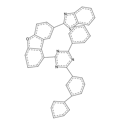 c1ccc(-c2cccc(-c3nc(-c4ccccc4)nc(-c4cccc5oc6ccc(-c7nc8ccccc8s7)cc6c45)n3)c2)cc1